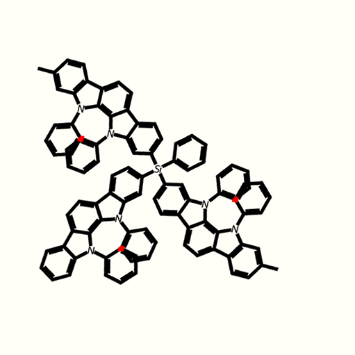 Cc1ccc2c3ccc4c5ccc([Si](c6ccccc6)(c6ccc7c8ccc9c%10ccccc%10n(-c%10ccccc%10)c9c8n(-c8ccccc8)c7c6)c6ccc7c8ccc9c%10ccc(C)cc%10n(-c%10ccccc%10)c9c8n(-c8ccccc8)c7c6)cc5n(-c5ccccc5)c4c3n(-c3ccccc3)c2c1